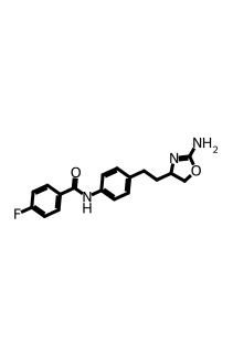 NC1=NC(CCc2ccc(NC(=O)c3ccc(F)cc3)cc2)CO1